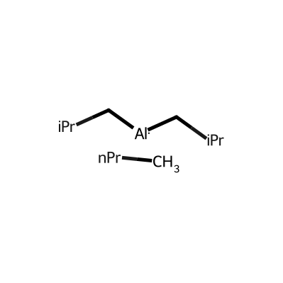 CC(C)[CH2][Al][CH2]C(C)C.CCCC